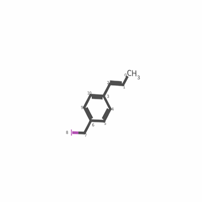 C/C=C/c1ccc(CI)cc1